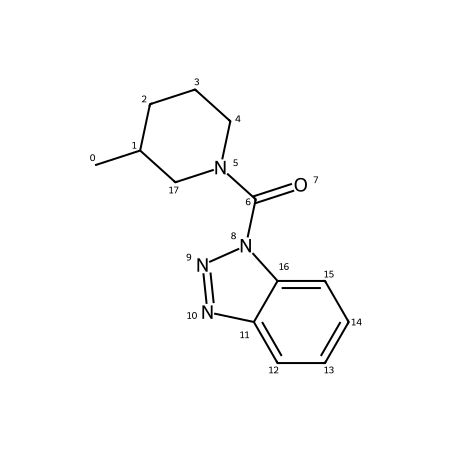 CC1CCCN(C(=O)n2nnc3ccccc32)C1